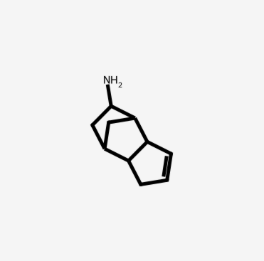 NC1CC2CC1C1C=CCC21